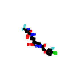 O=C(CCOc1ccc(Cl)c(F)c1)NC[C@@H](O)CCNC(=O)c1cc(C(F)F)no1